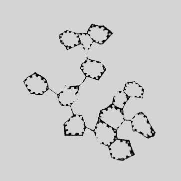 c1ccc(-c2cc(-c3cccc(-c4nc5ccccc5c5c(-c6ccccc6)c6c(cc45)oc4ccccc46)c3)nc(-c3cccc(-n4c5ccccc5c5ccccc54)c3)n2)cc1